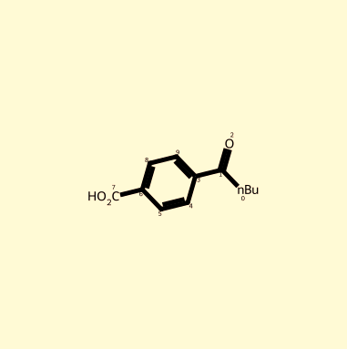 CCCCC(=O)c1ccc(C(=O)O)cc1